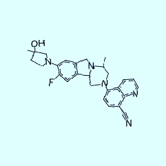 CC1CN(c2ccc(C#N)c3ncccc23)CC2c3cc(F)c(N4CCC(C)(O)C4)cc3CN12